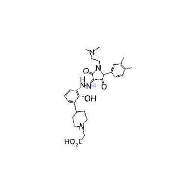 Cc1ccc(C2C(=O)/C(=N/Nc3cccc(C4CCN(CC(=O)O)CC4)c3O)C(=O)N2CCN(C)C)cc1C